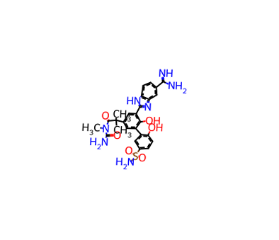 CN(C(N)=O)C(=O)C(C)(C)c1cc(-c2nc3cc(C(=N)N)ccc3[nH]2)c(O)c(-c2cc(S(N)(=O)=O)ccc2O)c1